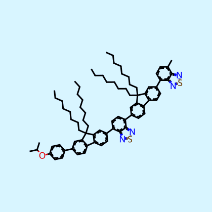 CCCCCCCCC1(CCCCCCCC)c2cc(-c3ccc(OC(C)C)cc3)ccc2-c2ccc(-c3ccc(-c4ccc5c(c4)C(CCCCCCCC)(CCCCCCCC)c4cc(-c6ccc(C)c7nsnc67)ccc4-5)c4nsnc34)cc21